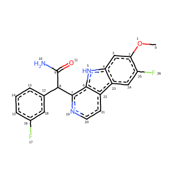 COc1cc2[nH]c3c(C(C(N)=O)c4cccc(F)c4)nccc3c2cc1F